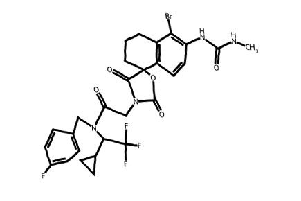 CNC(=O)Nc1ccc2c(c1Br)CCCC21OC(=O)N(CC(=O)N(Cc2ccc(F)cc2)C(C2CC2)C(F)(F)F)C1=O